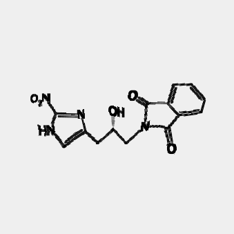 O=C1c2ccccc2C(=O)N1C[C@@H](O)Cc1c[nH]c([N+](=O)[O-])n1